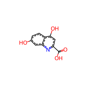 O=C(O)c1cc(O)c2ccc(O)cc2n1